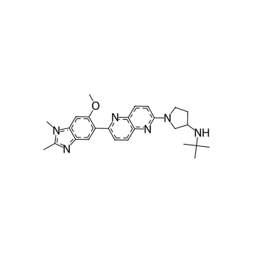 COc1cc2c(cc1-c1ccc3nc(N4CCC(NC(C)(C)C)C4)ccc3n1)nc(C)n2C